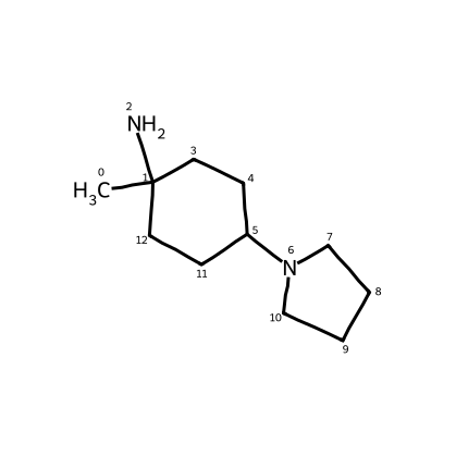 CC1(N)CCC(N2CCCC2)CC1